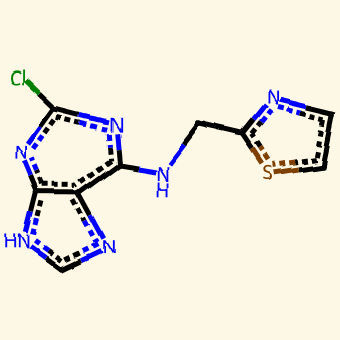 Clc1nc(NCc2nccs2)c2nc[nH]c2n1